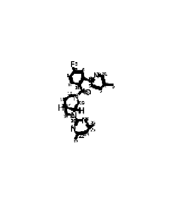 Cc1ccc(-c2cc(F)ccc2C(=O)N2CC[C@H]3CN(c4nc(C)cc(C)n4)[C@H]3C2)nc1